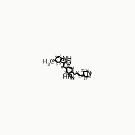 Cc1ccc2c(c1)C(=Cc1ccc3c(C=Cc4ccncc4)n[nH]c3c1)C(=O)N2